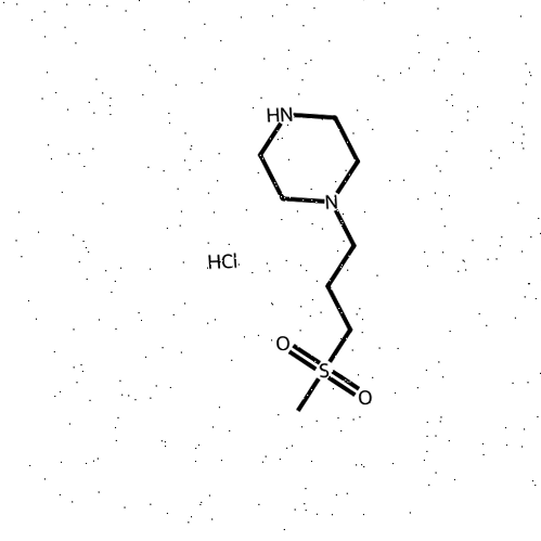 CS(=O)(=O)CCCN1CCNCC1.Cl